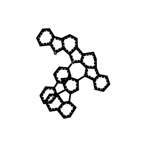 c1ccc(-c2ccc(-n3c4c(ccc5c6ccccc6oc54)c4ccc5c6ccccc6n(-c6ccc7c(c6)-c6cccc8cccc-7c68)c5c43)cc2)cc1